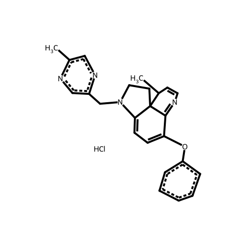 Cc1cnc(CN2CCC34C2=CC=C(Oc2ccccc2)C3=NC=CC4C)cn1.Cl